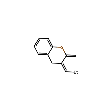 C=C1Sc2ccccc2C/C1=C/CC